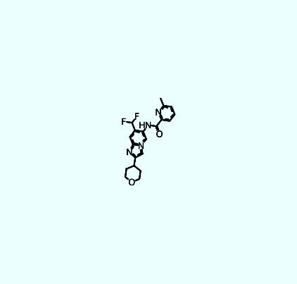 Cc1cccc(C(=O)Nc2cn3cc(C4CCOCC4)nc3cc2C(F)F)n1